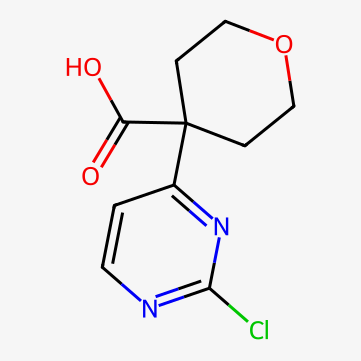 O=C(O)C1(c2ccnc(Cl)n2)CCOCC1